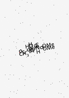 COc1ccc(C(CC(=O)O)NC(=O)C(CC(=O)Nc2ccc(CCSc3ccccc3C)cc2)CC(C)C)cc1OC